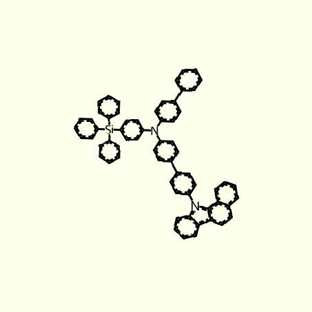 c1ccc(-c2ccc(N(c3ccc(-c4ccc(-n5c6ccccc6c6ccc7ccccc7c65)cc4)cc3)c3ccc([Si](c4ccccc4)(c4ccccc4)c4ccccc4)cc3)cc2)cc1